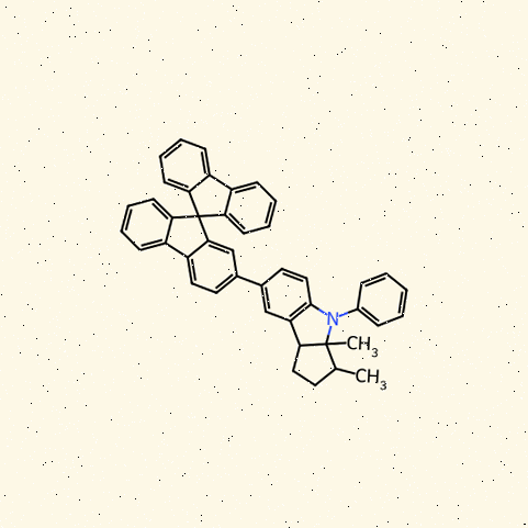 CC1CCC2c3cc(-c4ccc5c(c4)C4(c6ccccc6-c6ccccc64)c4ccccc4-5)ccc3N(c3ccccc3)C12C